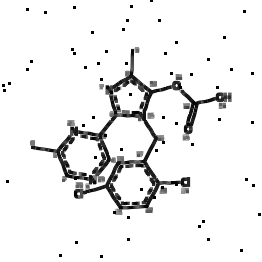 Cc1cncc(-c2nc(C)c(OC(=O)O)n2Cc2cc(Cl)ccc2Cl)n1